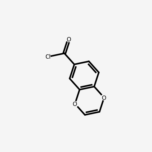 O=C(Cl)c1ccc2c(c1)OC=CO2